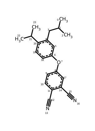 CC(C)Cc1cc(Oc2ccc(C#N)c(C#N)c2)ccc1C(C)C